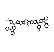 CCc1ccc(N(c2ccc3cc4c(cc3c2)oc2c4ccc3c4cc5ccc(N(c6ccc(C(C)C)cc6)c6ccc7c8ccccc8n(-c8ccccc8)c7c6)cc5cc4oc32)c2ccc3c4ccccc4n(-c4ccccc4)c3c2)cc1